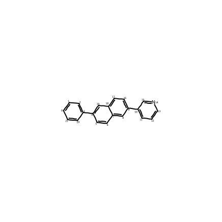 c1ccc(-c2ccc3cc(-c4cccnc4)ccc3c2)cc1